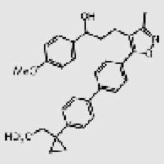 COc1ccc(C(O)CCc2c(C)noc2-c2ccc(-c3ccc(C4(CC(=O)O)CC4)cc3)cc2)cc1